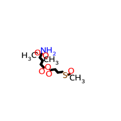 COC(N)(CCCC(=O)OC(=O)CCCSC(C)=O)OC